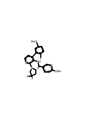 COc1ccc(F)c(-c2ccnc(N3CCC(F)(F)C3)c2NC(=O)c2ccc(OC)nc2)c1